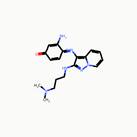 CN(C)CCCNc1nn2ccccc2c1/N=C1\C=CC(=O)C=C1N